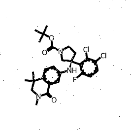 CN1CC(C)(C)c2ccc(N[C@]3(c4c(F)ccc(Cl)c4Cl)CCN(C(=O)OC(C)(C)C)C3)cc2C1=O